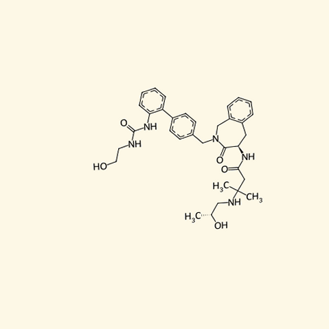 C[C@@H](O)CNC(C)(C)CC(=O)N[C@@H]1Cc2ccccc2CN(Cc2ccc(-c3ccccc3NC(=O)NCCO)cc2)C1=O